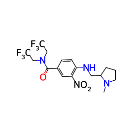 CN1CCCC1CNc1ccc(C(=O)N(CC(F)(F)F)CC(F)(F)F)cc1[N+](=O)[O-]